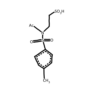 CC(=O)N(CCS(=O)(=O)O)S(=O)(=O)c1ccc(C)cc1